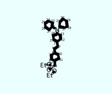 CCOP(=O)(Cc1ccc(C=Cc2ccc(N(c3ccccc3)c3ccccc3)cc2)cc1)OCC